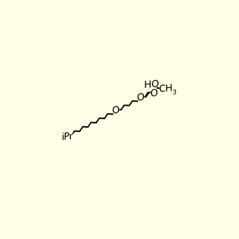 CC(C)CCCCCCCCCCOCCCCCOC=COC(C)O